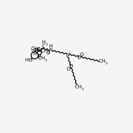 CCCCCCCCCCC(=O)OCCCCCN(CCCCCCCCNC(=O)CC[C@@H](C)[C@H]1CC[C@H]2[C@@H]3[C@H](O)[C@H](CC)CC[C@H](O)CC[C@H](C)[C@H]3CC[C@]12C)CCCCCOC(=O)CCCCCCCCCC